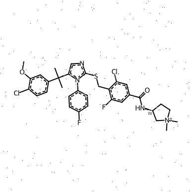 COc1cc(C(C)(C)c2cnc(SCc3c(F)cc(C(=O)N[C@H]4CC[N+](C)(C)C4)cc3Cl)n2-c2ccc(F)cc2)ccc1Cl